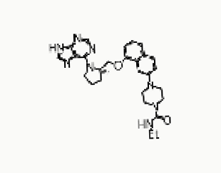 CCNC(=O)N1CCN(c2ccc3cccc(OC[C@H]4CCCN4c4ncnc5[nH]cnc45)c3c2)CC1